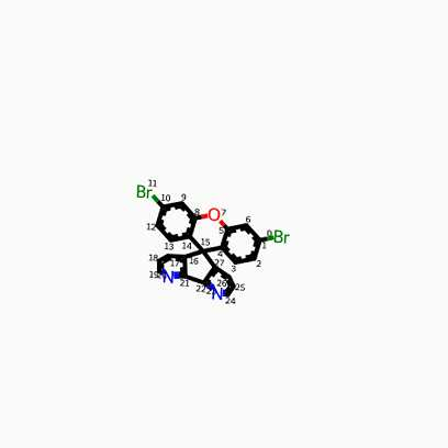 Brc1ccc2c(c1)Oc1cc(Br)ccc1C21c2cccnc2-c2ncccc21